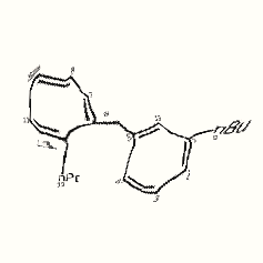 CCCCc1cc[c]c(-c2ccccc2CCC)c1